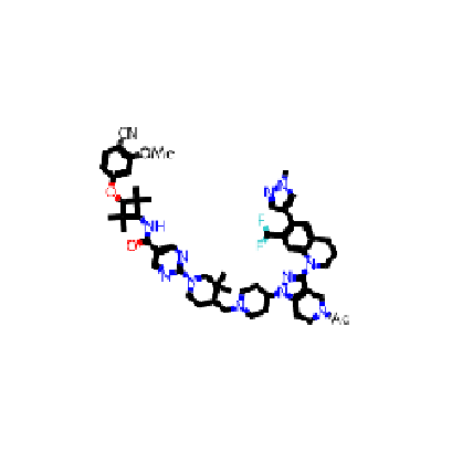 COc1cc(OC2C(C)(C)C(NC(=O)c3cnc(N4CCC(CN5CCC(n6nc(N7CCCc8cc(-c9cnn(C)c9)c(C(F)F)cc87)c7c6CCN(C(C)=O)C7)CC5)C(C)(C)C4)nc3)C2(C)C)ccc1C#N